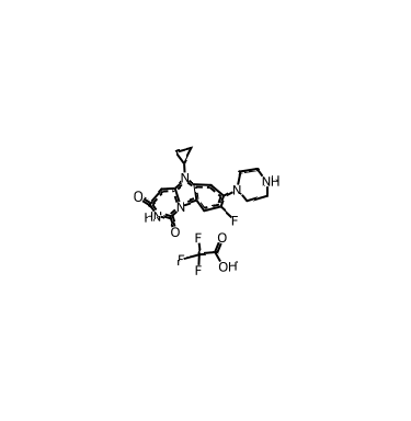 O=C(O)C(F)(F)F.O=c1cc2n(C3CC3)c3cc(N4CCNCC4)c(F)cc3n2c(=O)[nH]1